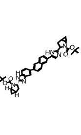 CC(C)(C)OC(=O)N1C(c2ncc(-c3ccc4cc(-c5ccc6[nH]c([C@@H]7C[C@H]8C[C@H]8N7C(=O)OC(C)(C)C)nc6c5)ccc4c3)[nH]2)CC2CC21